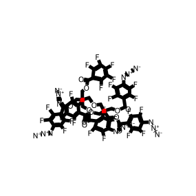 [N-]=[N+]=Nc1c(F)c(F)c(C(=O)OCC(COCC(COC(=O)c2c(F)c(F)c(N=[N+]=[N-])c(F)c2F)(COC(=O)c2c(F)c(F)c(N=[N+]=[N-])c(F)c2F)COC(=O)c2c(F)c(F)c(N=[N+]=[N-])c(F)c2F)(COC(=O)c2c(F)c(F)c(F)c(F)c2F)COC(=O)c2c(F)c(F)c(N=[N+]=[N-])c(F)c2F)c(F)c1F